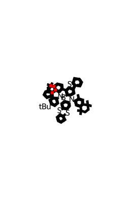 Cc1cc2c(cc1N1c3cc4c(cc3B3c5c1cc1c(sc6ccccc61)c5-c1ccc5c(c1N3c1ccc(C(C)(C)C)cc1-c1ccccc1)-c1ccccc1C5(C)C)Sc1ccccc1S4)C(C)(C)CCC2(C)C